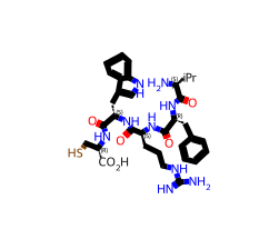 CC(C)[C@H](N)C(=O)N[C@H](Cc1ccccc1)C(=O)N[C@@H](CCCNC(=N)N)C(=O)N[C@@H](Cc1c[nH]c2ccccc12)C(=O)N[C@@H](CS)C(=O)O